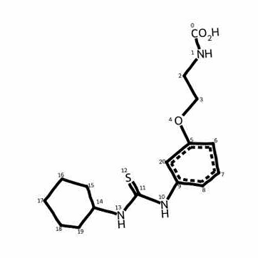 O=C(O)NCCOc1cccc(NC(=S)NC2CCCCC2)c1